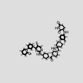 O=C1CCC(Nc2ccc(N3CCC(O)(CN4CCN(C(=O)[C@H]5CC[C@H](Nc6ncc(F)c(-c7cccc(-n8ccccc8=O)c7)n6)CC5)CC4)CC3)c(F)c2)C(=O)N1